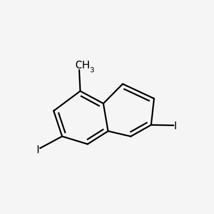 Cc1cc(I)cc2cc(I)ccc12